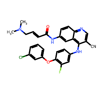 CN(C)C/C=C/C(=O)Nc1ccc2ncc(C#N)c(Nc3ccc(Oc4cccc(Cl)c4)c(F)c3)c2c1